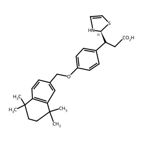 CC1(C)CCC(C)(C)c2cc(COc3ccc(C(CC(=O)O)[C@H]4NC=CS4)cc3)ccc21